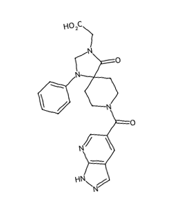 O=C(O)CN1CN(c2ccccc2)C2(CCN(C(=O)c3cnc4[nH]ncc4c3)CC2)C1=O